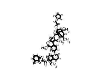 Cc1c(Nc2nc3cccc(F)c3s2)nnc2c1CCCN2c1ccc(-c2cnn(CC34CC5(C)CC(C)(C3)CC(OCCN3CCCC3)(C5)C4)c2C)c(C(=O)O)n1